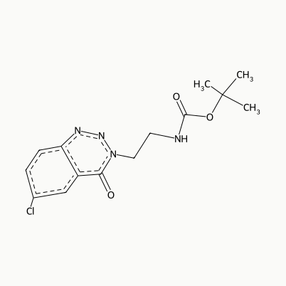 CC(C)(C)OC(=O)NCCn1nnc2ccc(Cl)cc2c1=O